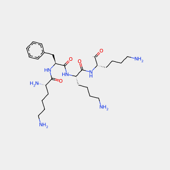 NCCCC[C@@H]([C]=O)NC(=O)[C@H](CCCCN)NC(=O)[C@H](Cc1ccccc1)NC(=O)[C@@H](N)CCCCN